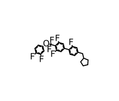 Fc1ccc(OC(F)(F)c2c(F)cc(-c3ccc(CC4CCCC4)cc3F)cc2F)cc1F